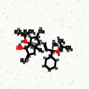 C=C1C[C@H]2[C@@H](C=C[C@@](O[SiH](C)C)(C3CCCCC3)C(C)(C)C)[C@H](C(C)(C)C)C[C@@]2(O[SiH](C)C)C1O